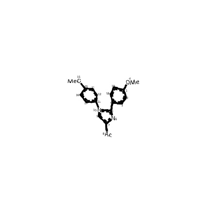 COc1ccc(-c2nc(C(C)=O)cn2-c2ccc(OC)cc2)cc1